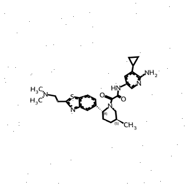 C[C@H]1CC[C@H](c2ccc3sc(CCN(C)C)nc3c2)N(C(=O)C(=O)Nc2cnc(N)c(C3CC3)c2)C1